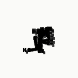 CCCCCCCCc1ccc(C2(c3ccc(CCCCCCCC)cc3)c3cc(C)ccc3-c3ccc(-c4ccc5c(c4)C(CCCCCCCC)(CCCCCCCC)c4cc(-c6ccc(N(c7ccc(N(c8ccc(C)cc8)c8c(C)cc(C(C)(C)C)cc8C)cc7)c7c(C)cc(C(C)(C)C)cc7C)cc6)ccc4-5)cc32)cc1